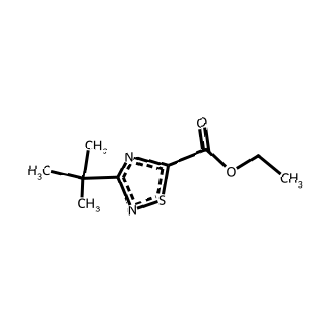 CCOC(=O)c1nc(C(C)(C)C)ns1